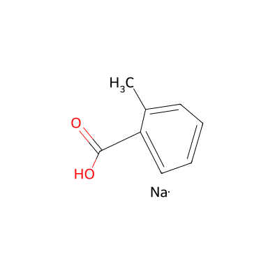 Cc1ccccc1C(=O)O.[Na]